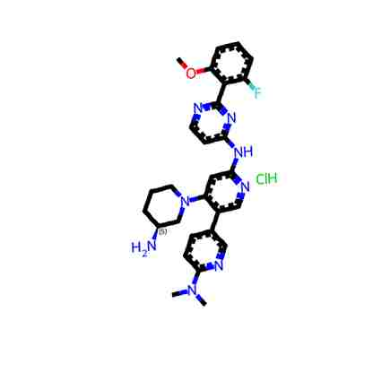 COc1cccc(F)c1-c1nccc(Nc2cc(N3CCC[C@H](N)C3)c(-c3ccc(N(C)C)nc3)cn2)n1.Cl